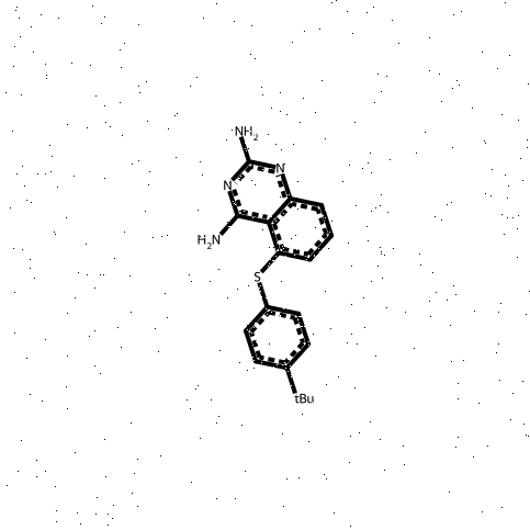 CC(C)(C)c1ccc(Sc2cccc3nc(N)nc(N)c23)cc1